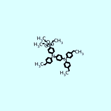 CCO[Si](OCC)(OCC)c1ccc(N(c2ccc(CC)cc2)c2ccc(N(c3ccc(CC)cc3)c3ccc(CC)cc3)cc2)cc1